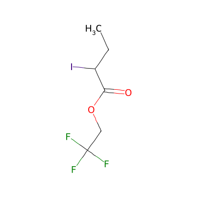 CCC(I)C(=O)OCC(F)(F)F